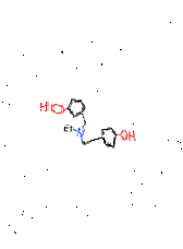 CCN(Cc1ccc(O)cc1)Cc1cccc(O)c1